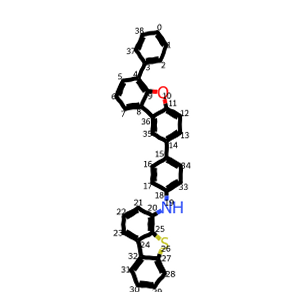 c1ccc(-c2cccc3c2oc2ccc(-c4ccc(Nc5cccc6c5sc5ccccc56)cc4)cc23)cc1